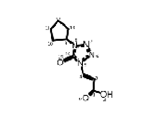 O=C(O)C=Cn1nnn(C2CCCC2)c1=O